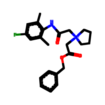 Cc1cc(F)cc(C)c1NC(=O)C[N+]1(CC(=O)OCc2ccccc2)CCCC1